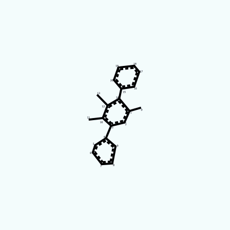 Cc1[c]c(-c2ccccc2)c(C)c(C)c1-c1ccccc1